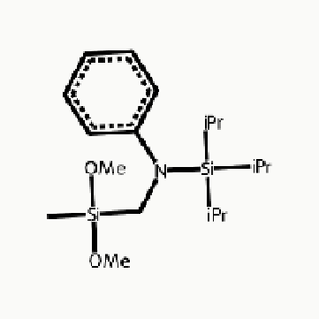 CO[Si](C)(CN(c1ccccc1)[Si](C(C)C)(C(C)C)C(C)C)OC